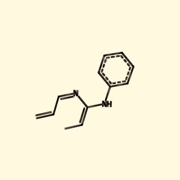 C=C/C=N\C(=C/C)Nc1ccccc1